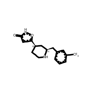 O=c1cc([C@@H]2CCN[C@H](Cc3cccc(C(F)(F)F)c3)C2)o[nH]1